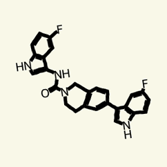 O=C(Nc1c[nH]c2ccc(F)cc12)N1CCc2cc(-c3c[nH]c4ccc(F)cc34)ccc2C1